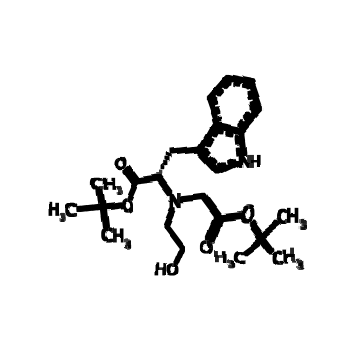 CC(C)(C)OC(=O)CN(CCO)[C@@H](Cc1c[nH]c2ccccc12)C(=O)OC(C)(C)C